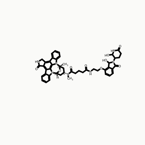 CN(C(=O)CCCC(=O)NCCOc1cccc2c1C(O)N(C1CCC(=O)NC1O)C2=O)[C@@H]1C[C@H]2O[C@@](C)(C1)n1c3ccccc3c3c4c(c5c6ccccc6n2c5c31)C(=O)NC4